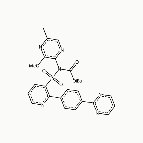 COc1nc(C)cnc1N(C(=O)OCC(C)C)S(=O)(=O)c1cccnc1-c1ccc(-c2ncccn2)cc1